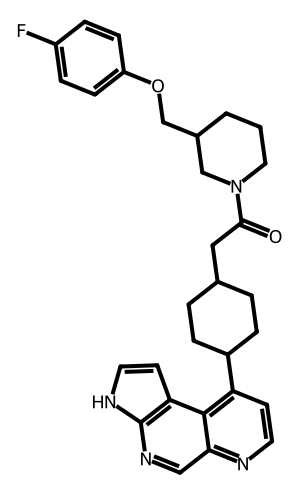 O=C(CC1CCC(c2ccnc3cnc4[nH]ccc4c23)CC1)N1CCCC(COc2ccc(F)cc2)C1